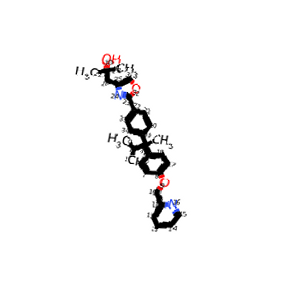 CC(C)C(C)(c1ccc(OCc2ccccn2)cc1)c1ccc(-c2nc(CC(C)(C)O)co2)cc1